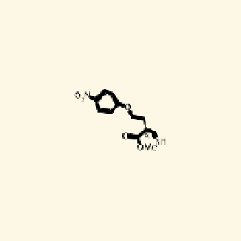 COC(=O)[C@H](C=N)CCOc1ccc([N+](=O)[O-])cc1